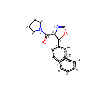 O=C([C@H]1N=COC1c1ccc2ccccc2c1)N1CCCC1